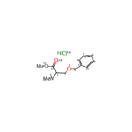 CNC(COCc1ccccc1)C(=O)OC.Cl